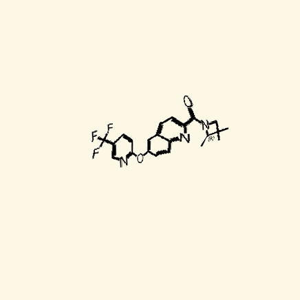 C[C@H]1N(C(=O)c2ccc3cc(Oc4ccc(C(F)(F)F)cn4)ccc3n2)CC1(C)C